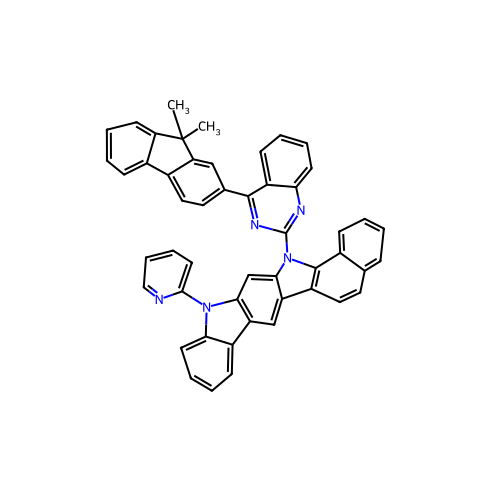 CC1(C)c2ccccc2-c2ccc(-c3nc(-n4c5cc6c(cc5c5ccc7ccccc7c54)c4ccccc4n6-c4ccccn4)nc4ccccc34)cc21